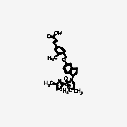 Cc1csc(S(=O)(=O)N(CC(C)C)C2CCc3cc(OCc4ccc(C=CC(=O)O)cc4C)ccc32)n1